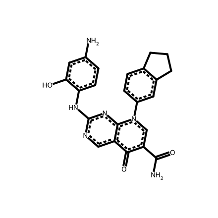 NC(=O)c1cn(-c2ccc3c(c2)CCC3)c2nc(Nc3ccc(N)cc3O)ncc2c1=O